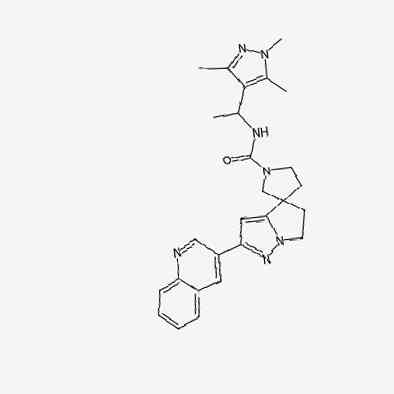 Cc1nn(C)c(C)c1C(C)NC(=O)N1CCC2(CCn3nc(-c4cnc5ccccc5c4)cc32)C1